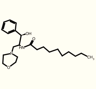 CCCCCCCCCC(=O)NC(CN1CCOCC1)[C@H](O)c1ccccc1